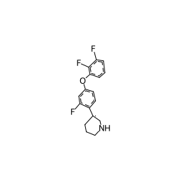 Fc1cc(Oc2cccc(F)c2F)ccc1[C]1CCCNC1